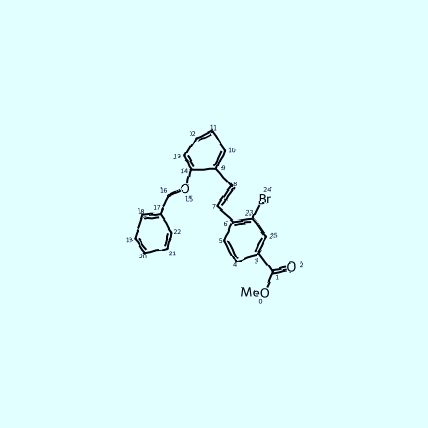 COC(=O)c1ccc(C=Cc2ccccc2OCc2ccccc2)c(Br)c1